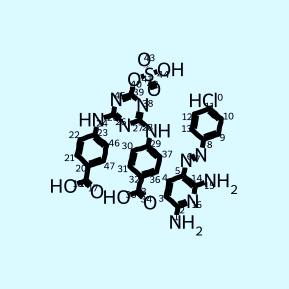 Cl.Nc1ccc(/N=N/c2ccccc2)c(N)n1.O=C(O)c1ccc(Nc2nc(Nc3ccc(C(=O)O)cc3)nc(OS(=O)(=O)O)n2)cc1